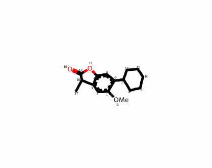 COc1cc2c(cc1C1CCCCC1)OC(=O)C2C